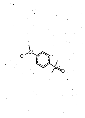 C[S+]([O-])c1ccc([S+](C)(C)=O)cc1